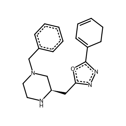 C1=CCCC(c2nnc(C[C@@H]3CN(Cc4ccccc4)CCN3)o2)=C1